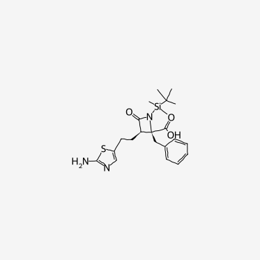 CC(C)(C)[Si](C)(C)N1C(=O)[C@H](CCc2cnc(N)s2)[C@@]1(Cc1ccccc1)C(=O)O